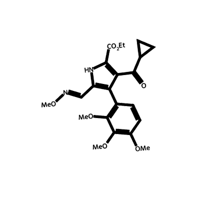 CCOC(=O)c1[nH]c(/C=N/OC)c(-c2ccc(OC)c(OC)c2OC)c1C(=O)C1CC1